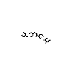 CCC(c1sc2c(c1C)C(=O)N(Cc1c(C)cc(C)[nH]c1=O)CC2)C1CCN(Cc2ccncc2)CC1